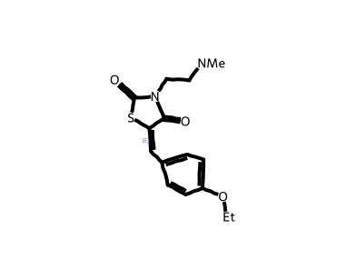 CCOc1ccc(/C=C2/SC(=O)N(CCNC)C2=O)cc1